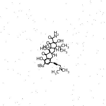 CN(C)CC#Cc1cc(C(C)(C)C)c(O)c2c1C[C@H]1C[C@H]3[C@@H](N(C)C)C(O)=C(C(N)=O)C(=O)[C@@]3(O)C(O)=C1C2=O